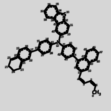 C/C=C\C=C/c1cc(-c2ccc(N(c3ccc(-c4ccc5c(c4)=CCCC=5)cc3)c3ccc4sc5ccccc5c4c3)cc2)c2ccccc2c1